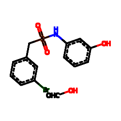 O=CO.O=S(=O)(Cc1cccc(Br)c1)Nc1cccc(O)c1